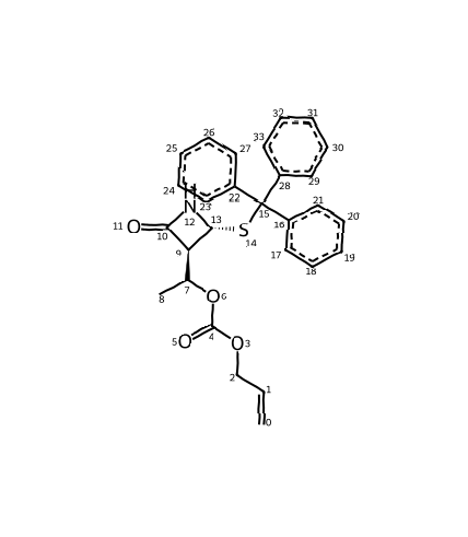 C=CCOC(=O)OC(C)[C@H]1C(=O)N[C@@H]1SC(c1ccccc1)(c1ccccc1)c1ccccc1